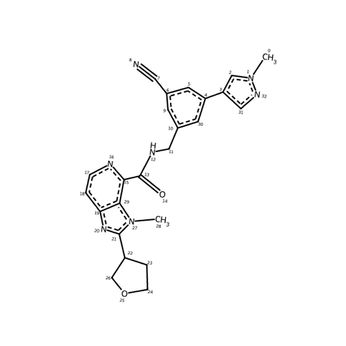 Cn1cc(-c2cc(C#N)cc(CNC(=O)c3nccc4nc(C5CCOC5)n(C)c34)c2)cn1